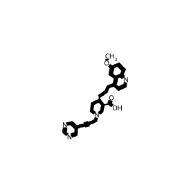 COc1ccc2nccc(CCC[C@@H]3CCN(CC#Cc4cncnc4)C[C@@H]3C(=O)O)c2c1